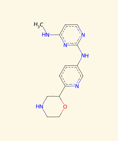 CNc1ccnc(Nc2ccc(C3CNCCO3)nc2)n1